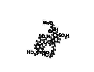 C=C(/C=C/C=C1/N(CCCCCC(=O)O)c2ccc3c(S(=O)(=O)O)cc(C(=O)NCCOC)cc3c2C1(C)C)C(C)(CCCS(=O)(=O)O)c1c(C)ccc2c(S(=O)(=O)O)cc(S(=O)(=O)O)cc12